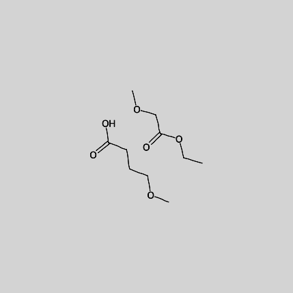 CCOC(=O)COC.COCCCC(=O)O